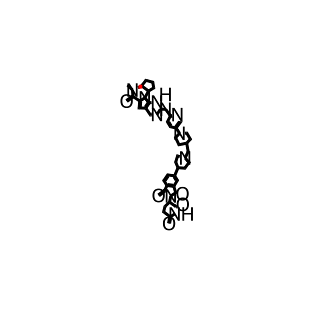 CN(C)C(=O)c1cc2cnc(Nc3ccc(N4CCC(CN5CCC(c6ccc7c(c6)C(=O)N(C6CCC(=O)NC6=O)C7=O)CC5)CC4)cn3)nc2n1C1CCCC1